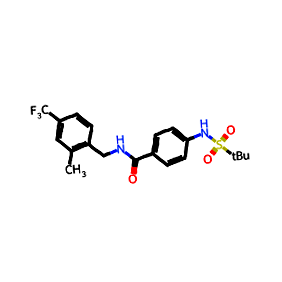 Cc1cc(C(F)(F)F)ccc1CNC(=O)c1ccc(NS(=O)(=O)C(C)(C)C)cc1